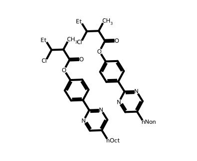 CCCCCCCCCc1cnc(-c2ccc(OC(=O)C(C)C(Cl)CC)cc2)nc1.CCCCCCCCc1cnc(-c2ccc(OC(=O)C(C)C(Cl)CC)cc2)nc1